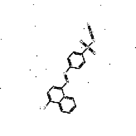 [N-]=[N+]=NS(=O)(=O)c1ccc(/N=N/c2ccc(O)c3ccccc23)cc1